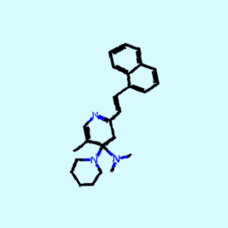 CC1=CN=C(C=Cc2cccc3ccccc23)CC1(N(C)C)N1CCCCC1